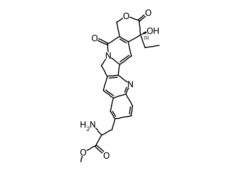 CC[C@@]1(O)C(=O)OCc2c1cc1n(c2=O)Cc2cc3cc(CC(N)C(=O)OC)ccc3nc2-1